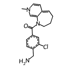 CN1C=CC2=CCCCN(C(=O)c3ccc(CN)c(Cl)c3)C2=C1